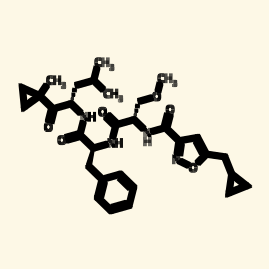 COC[C@H](NC(=O)c1cc(CC2CC2)on1)C(=O)N[C@@H](Cc1ccccc1)C(=O)N[C@@H](CC(C)C)C(=O)C1(C)CC1